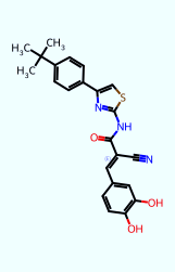 CC(C)(C)c1ccc(-c2csc(NC(=O)/C(C#N)=C/c3ccc(O)c(O)c3)n2)cc1